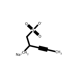 [CH2]C(C#CC)CS(=O)(=O)[O-].[Na+]